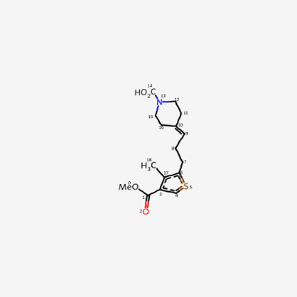 COC(=O)c1csc(CCC=C2CCN(C(=O)O)CC2)c1C